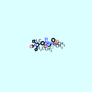 Cc1cc(Nc2ncc(Cl)c(Nc3ccccc3S(=O)(=O)C(C)C)n2)c(OC(C)C)cc1C1=CC(C2CCC2)N(C2COC2)C(C2CCC2)C1